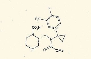 COC(=O)N(C[C@@H]1COCCN1C(=O)O)C1(c2ccc(F)c(C(F)(F)F)c2)CC1